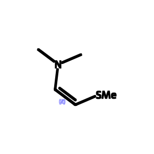 CS/C=C\N(C)C